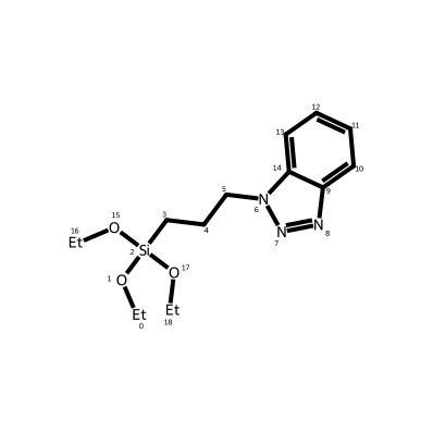 CCO[Si](CCCn1nnc2ccccc21)(OCC)OCC